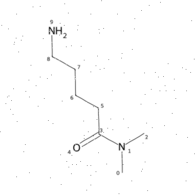 CN(C)C(=O)CCCCN